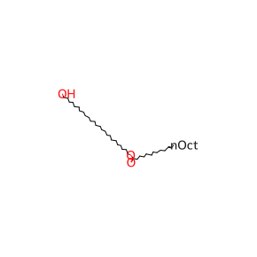 CCCCCCCCC=CCCCCCCCCCC(=O)OCCCCCCCCCCCCCCCCCCCCCCCCCO